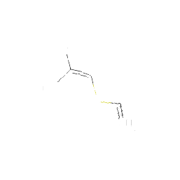 B/C(C)=C/SC=C